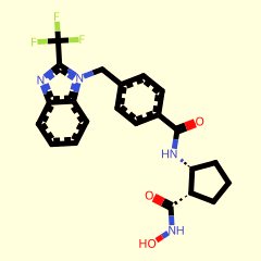 O=C(N[C@@H]1CCC[C@@H]1C(=O)NO)c1ccc(Cn2c(C(F)(F)F)nc3ccccc32)cc1